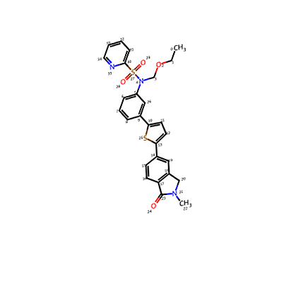 CCOCN(c1cccc(-c2ccc(-c3ccc4c(c3)CN(C)C4=O)s2)c1)S(=O)(=O)c1ccccn1